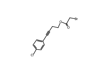 O=C(CBr)OCCC#Cc1ccc(Cl)cc1